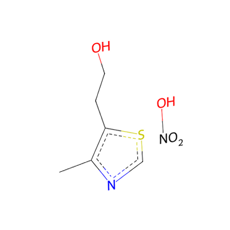 Cc1ncsc1CCO.O=[N+]([O-])O